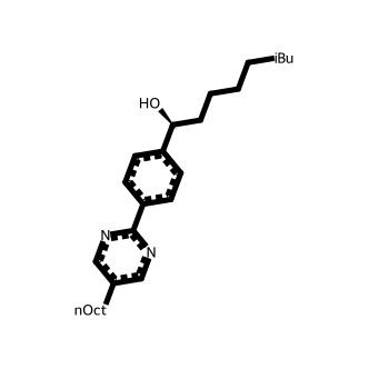 CCCCCCCCc1cnc(-c2ccc([C@@H](O)CCCCC(C)CC)cc2)nc1